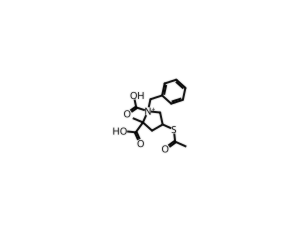 CC(=O)SC1CC(C)(C(=O)O)[N+](Cc2ccccc2)(C(=O)O)C1